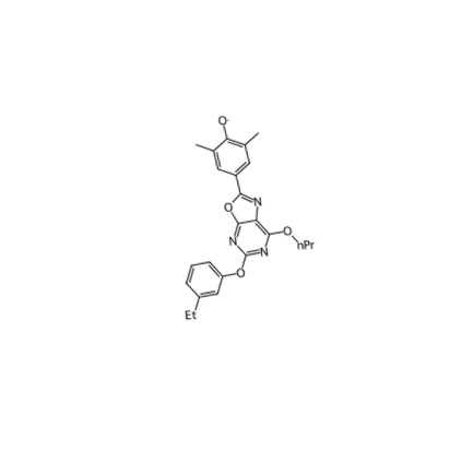 CCCOc1nc(Oc2cccc(CC)c2)nc2oc(-c3cc(C)c([O])c(C)c3)nc12